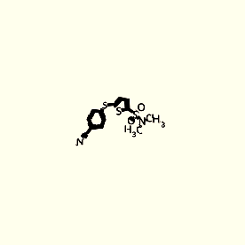 CN(C)S(=O)(=O)c1ccc(Sc2ccc(C#N)cc2)s1